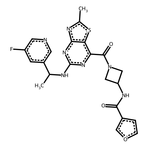 Cc1nc2nc(NC(C)c3cncc(F)c3)nc(C(=O)N3CC(NC(=O)c4ccoc4)C3)c2s1